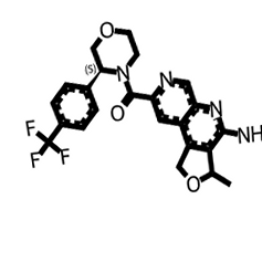 CC1OCc2c1c(N)nc1cnc(C(=O)N3CCOC[C@@H]3c3ccc(C(F)(F)F)cc3)cc21